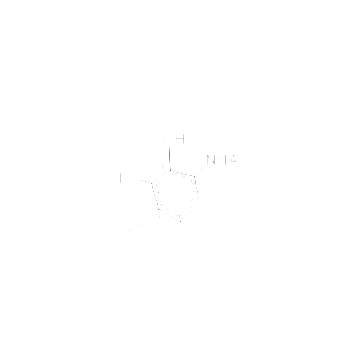 CC(=O)Nc1ccc(F)c(C)c1O